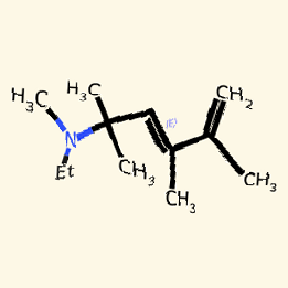 C=C(C)/C(C)=C/C(C)(C)N(C)CC